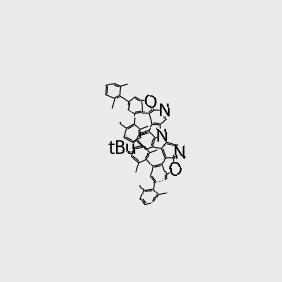 Cc1cccc(C)c1-c1cc(-c2c(C)cccc2C)c2c(c1)oc1ncc3c(c4cc(C(C)(C)C)cc5c6c7c(ncc6n3c45)oc3cc(-c4c(C)cccc4C)cc(-c4c(C)cccc4C)c37)c12